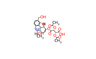 CC(=O)O[C@@H](C(=O)O)[C@@H](OC(C)=O)C(=O)OC1=CC[C@@]2(O)[C@H]3Cc4ccc(CO)c5c4[C@@]2(CCN3C)[C@H]1O5